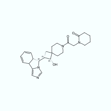 O=C(CN1CCCCC1=O)N1CCC2(CC1)C[C@@H]([C@H]1C3C=CC=CC3c3cncn31)[C@H]2O